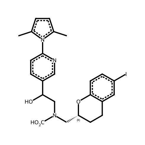 Cc1ccc(C)n1-c1ccc(C(O)CN(C[C@H]2CCc3cc(I)ccc3O2)C(=O)O)cn1